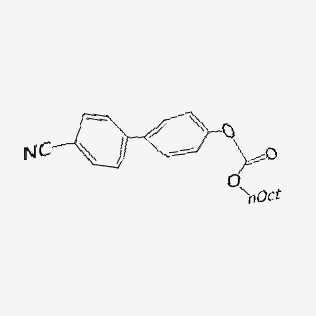 CCCCCCCCOC(=O)Oc1ccc(-c2ccc(C#N)cc2)cc1